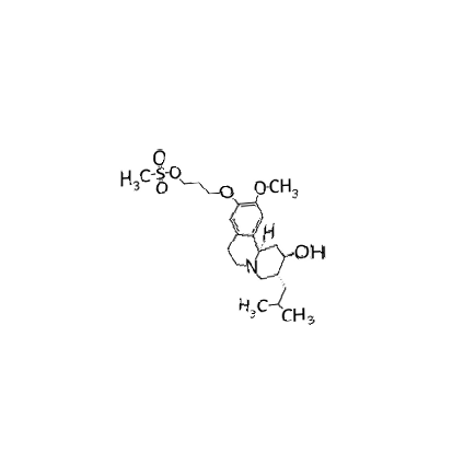 COc1cc2c(cc1OCCCOS(C)(=O)=O)CCN1C[C@@H](CC(C)C)[C@H](O)C[C@H]21